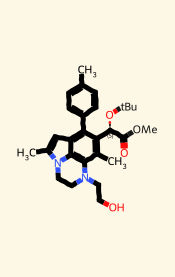 COC(=O)[C@@H](OC(C)(C)C)c1c(C)c2c3c(cc(C)n3CCN2CCO)c1-c1ccc(C)cc1